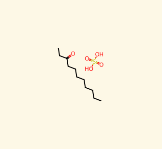 CCCCCCCCC(=O)CC.O=S(=O)(O)O